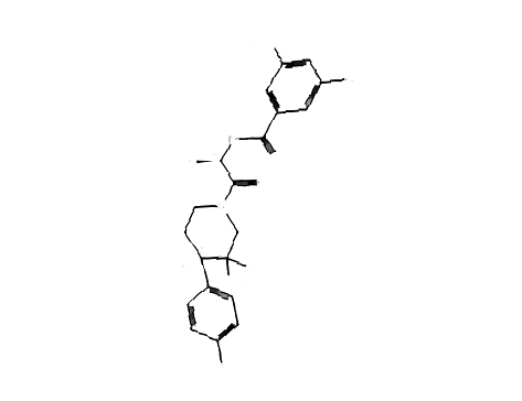 CC(C)[C@@H](NC(=O)c1cc(Br)cc(C(=O)O)c1)C(=O)N1CC[C@](O)(c2ccc(Cl)cc2)C(C)(C)C1